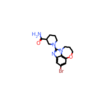 NC(=O)C1CCCN(c2nc3cc(Br)cc4c3n2CCCO4)C1